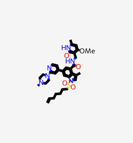 C=CCCCCCS(=O)(=O)n1cc(C)c2c(C(=O)NCc3c(OC)cc(C)[nH]c3=O)cc(-c3ccnc(N4CCN(C)CC4)c3)cc21